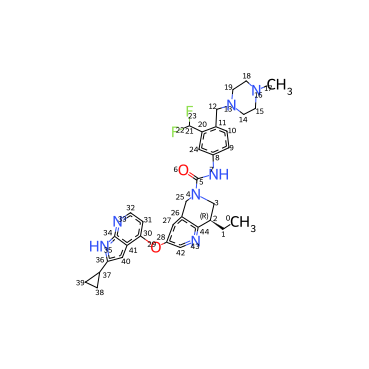 CC[C@@H]1CN(C(=O)Nc2ccc(CN3CCN(C)CC3)c(C(F)F)c2)Cc2cc(Oc3ccnc4[nH]c(C5CC5)cc34)cnc21